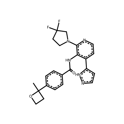 CC1(c2ccc(C(=O)Nc3c(-c4ccn[nH]4)ccnc3N3CCC(F)(F)C3)cc2)CCO1